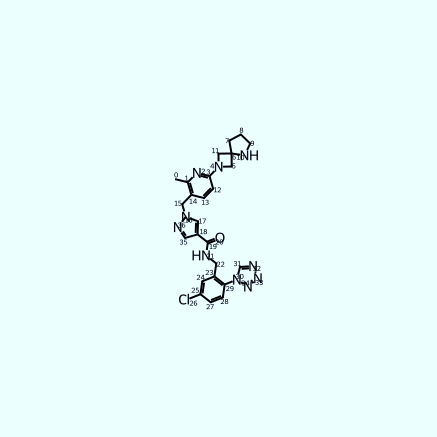 Cc1nc(N2CC3(CCCN3)C2)ccc1Cn1cc(C(=O)NCc2cc(Cl)ccc2-n2cnnn2)cn1